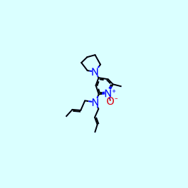 CC=CCN(CC=CC)c1cc(N2CCCCC2)cc(C)[n+]1[O-]